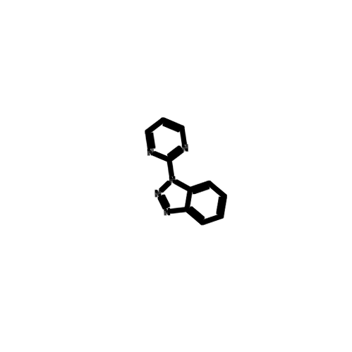 c1cnc(-n2nnc3ccccc32)nc1